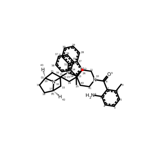 Cc1cccc(N)c1C(=O)N1CCC(CCN2[C@@H]3CC[C@H]2CC(n2c(C)nc4ccccc42)C3)(c2ccccc2)CC1